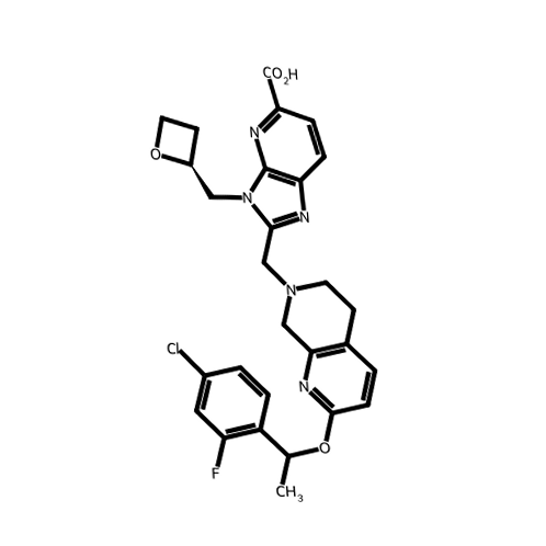 CC(Oc1ccc2c(n1)CN(Cc1nc3ccc(C(=O)O)nc3n1C[C@@H]1CCO1)CC2)c1ccc(Cl)cc1F